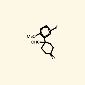 COc1ccc(F)cc1C1(C=O)CCC(=O)CC1